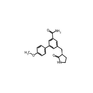 COc1ccc(-c2cc(C[C@H]3CCNC3=O)cc(C(N)=O)c2)cc1